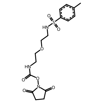 Cc1ccc(S(=O)(=O)NCCOCCNC(=O)ON2C(=O)CCC2=O)cc1